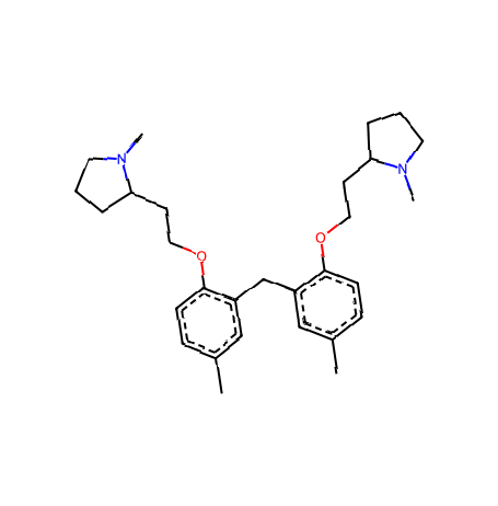 Cc1ccc(OCCC2CCCN2C)c(Cc2cc(C)ccc2OCCC2CCCN2C)c1